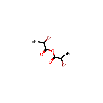 CCCC(Br)C(=O)OC(=O)C(Br)CCC